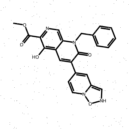 COC(=O)c1ncc2c(cc(C3=CC4=CNON4C=C3)c(=O)n2Cc2ccccc2)c1O